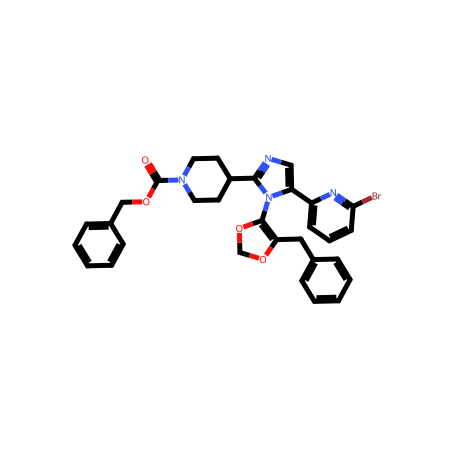 O=C(OCc1ccccc1)N1CCC(c2ncc(-c3cccc(Br)n3)n2C2=C(Cc3ccccc3)OCO2)CC1